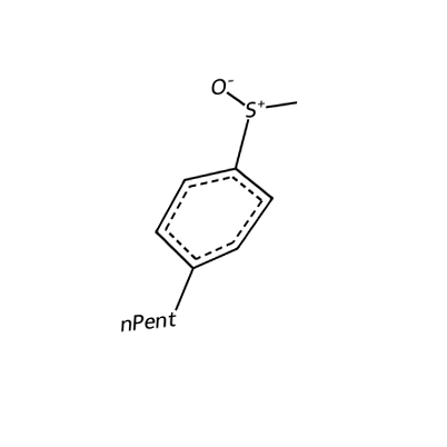 CCC[CH]Cc1ccc([S+](C)[O-])cc1